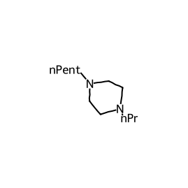 CCCCCN1CCN(CCC)CC1